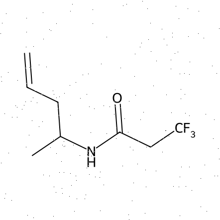 C=CCC(C)NC(=O)CC(F)(F)F